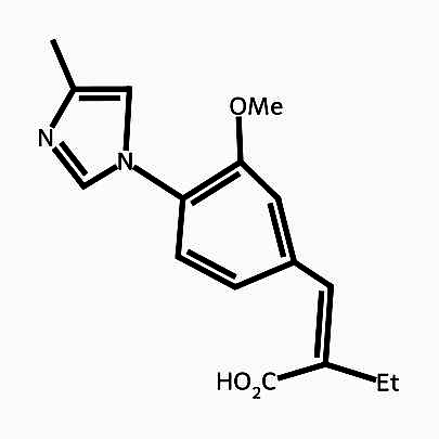 CC/C(=C/c1ccc(-n2cnc(C)c2)c(OC)c1)C(=O)O